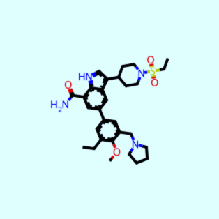 CCc1cc(-c2cc(C(N)=O)c3[nH]cc(C4CCN(S(=O)(=O)CC)CC4)c3c2)cc(CN2CCCC2)c1OC